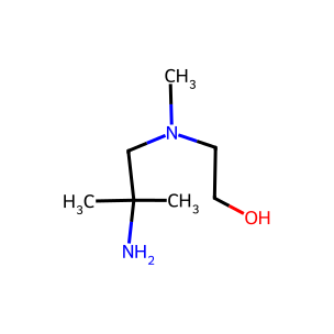 CN(CCO)CC(C)(C)N